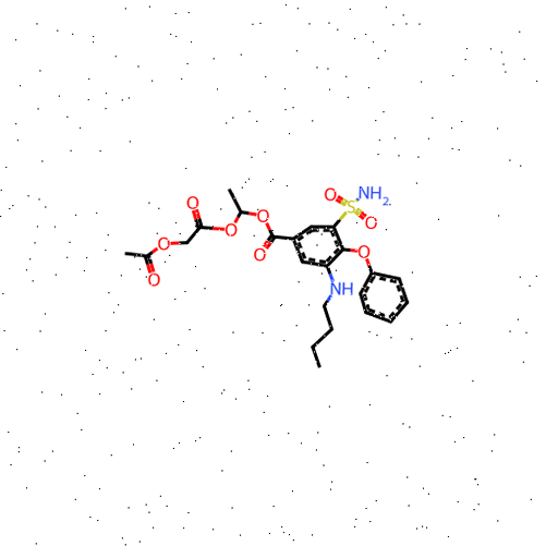 CCCCNc1cc(C(=O)OC(C)OC(=O)COC(C)=O)cc(S(N)(=O)=O)c1Oc1ccccc1